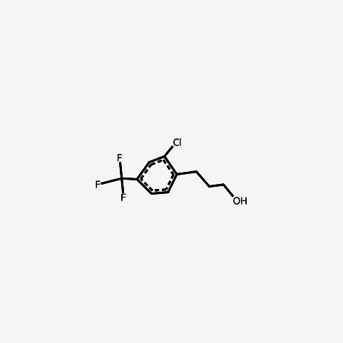 OCCCc1ccc(C(F)(F)F)cc1Cl